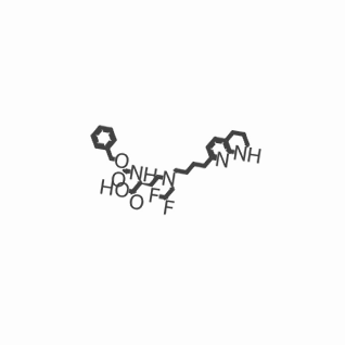 O=C(N[C@@H](CCN(CCCCc1ccc2c(n1)NCCC2)CC(F)F)C(=O)O)OCc1ccccc1